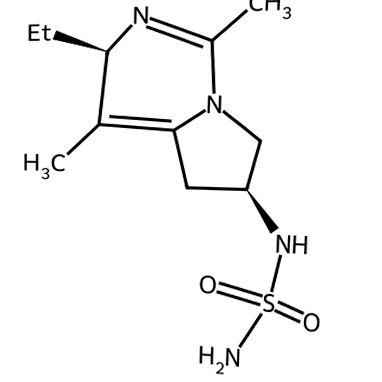 CC[C@H]1N=C(C)N2C[C@@H](NS(N)(=O)=O)CC2=C1C